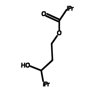 CC(C)C(=O)OCCC(O)C(C)C